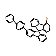 Brc1cccc2c1-c1ccccc1C21c2ccccc2-c2ccc(-c3ccc(-c4ccccc4)cc3)cc21